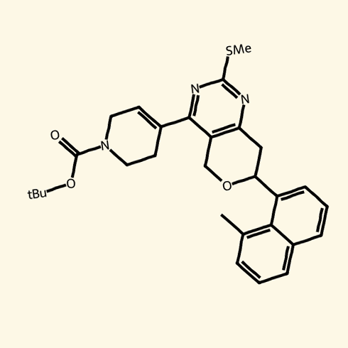 CSc1nc2c(c(C3=CCN(C(=O)OC(C)(C)C)CC3)n1)COC(c1cccc3cccc(C)c13)C2